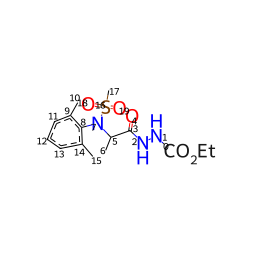 CCOC(=O)NNC(=O)C(C)N(c1c(C)cccc1C)S(C)(=O)=O